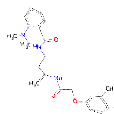 C=C(CCNC(=O)c1ccccc1N(C)C)NC(=O)COc1ccc(C)c(C)c1